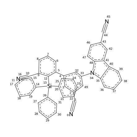 N#Cc1cc(-c2cccc(C#N)c2[Si](c2ccccc2)(c2ccccc2)c2ccccc2)cc(-n2c3ccccc3c3cc(C#N)ccc32)c1